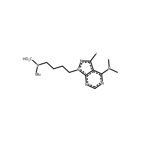 CN(C)c1ncnc2c1c(I)nn2CCCCN(C(=O)O)C(C)(C)C